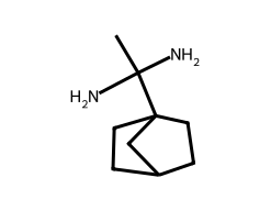 CC(N)(N)C12CCC(CC1)C2